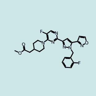 COC(=O)CC1CCN(c2nc(-c3cc(-c4ccon4)n(Cc4ccccc4F)n3)ncc2F)CC1